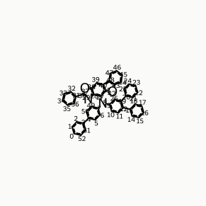 c1ccc(-c2ccc(N(c3ccc(-c4ccccc4)c(-c4ccccc4)c3)c3c4nc(-c5ccccc5)oc4cc4c3oc3ccccc34)cc2)cc1